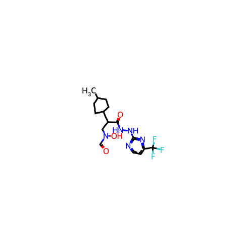 CC1CCC(C(CN(O)C=O)C(=O)NNc2nccc(C(F)(F)F)n2)CC1